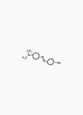 CN(C)c1ccc(N=Nc2ccc(S)cc2)cc1